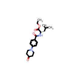 CCOC(=O)[C@H](CC(C)C)NC(=O)c1ccc(N2CCC(=O)CC2)cc1